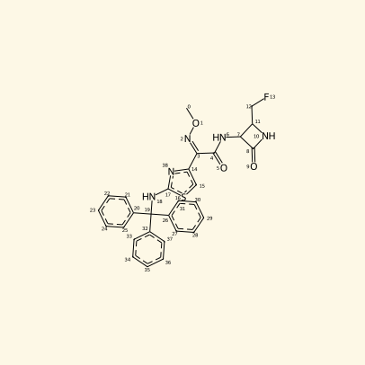 CON=C(C(=O)NC1C(=O)NC1CF)c1csc(NC(c2ccccc2)(c2ccccc2)c2ccccc2)n1